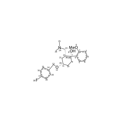 COc1ccccc1[C@@]1(O)CC[C@H](OCc2ccc(F)cc2)C[C@@H]1CN(C)C